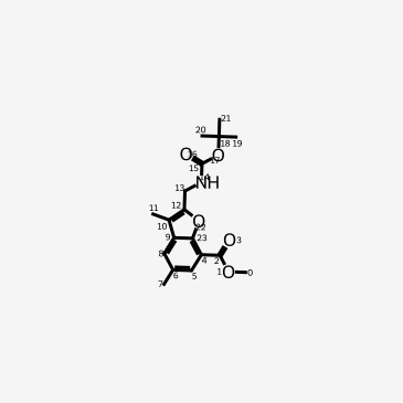 COC(=O)c1cc(C)cc2c(C)c(CNC(=O)OC(C)(C)C)oc12